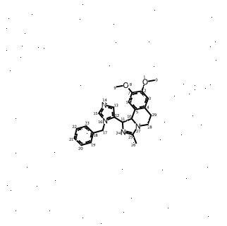 COc1cc2c(cc1OC)C1C(c3cncn3Cc3ccccc3)N=C(C)N1CC2